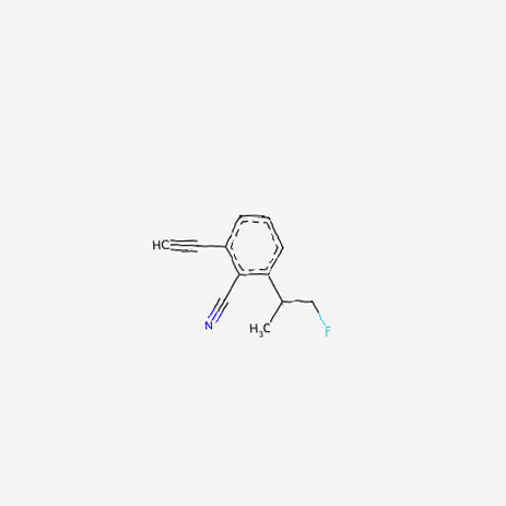 C#Cc1cccc([C](C)CF)c1C#N